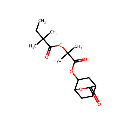 CCC(C)(C)C(=O)OC(C)(C)C(=O)OC1CC2CCC1OC2=O